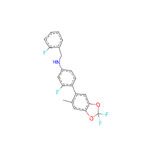 Cc1cc2c(cc1-c1ccc(NCc3ccccc3F)cc1F)OC(F)(F)O2